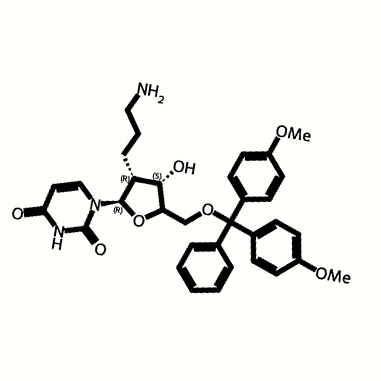 COc1ccc(C(OCC2O[C@@H](n3ccc(=O)[nH]c3=O)[C@H](CCCN)[C@@H]2O)(c2ccccc2)c2ccc(OC)cc2)cc1